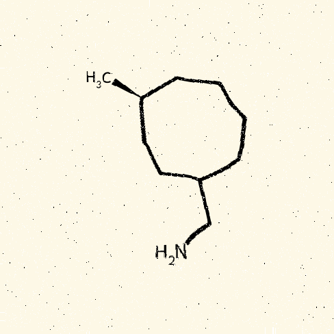 C[C@H]1CCCCC(CN)CC1